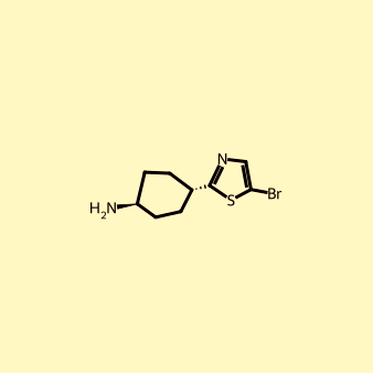 N[C@H]1CC[C@H](c2ncc(Br)s2)CC1